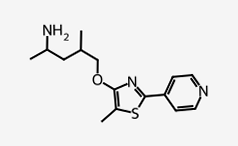 Cc1sc(-c2ccncc2)nc1OCC(C)CC(C)N